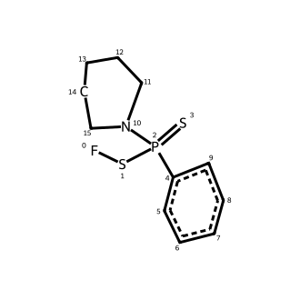 FSP(=S)(c1ccccc1)N1CCCCC1